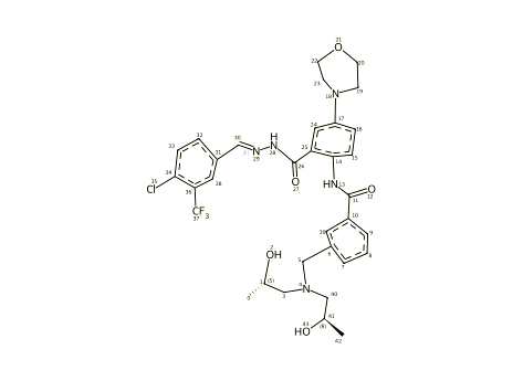 C[C@H](O)CN(Cc1cccc(C(=O)Nc2ccc(N3CCOCC3)cc2C(=O)N/N=C/c2ccc(Cl)c(C(F)(F)F)c2)c1)C[C@@H](C)O